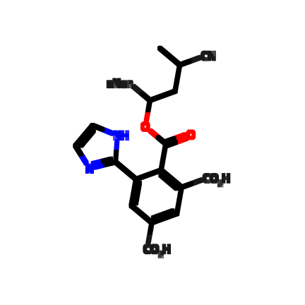 CCCCCCCCCC(CC(C)C#N)OC(=O)c1c(C(=O)O)cc(C(=O)O)cc1-c1ncc[nH]1